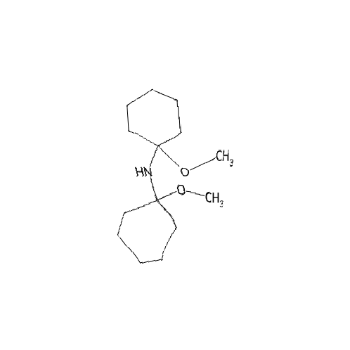 COC1(NC2(OC)CCCCC2)CCCCC1